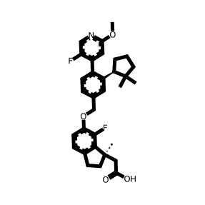 COc1cc(-c2ccc(COc3ccc4c(c3F)[C@@](C)(CC(=O)O)CC4)cc2[C@H]2CCCC2(C)C)c(F)cn1